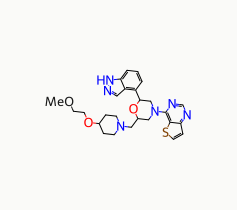 COCCOC1CCN(CC2CN(c3ncnc4ccsc34)CC(c3cccc4[nH]ncc34)O2)CC1